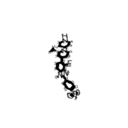 Cn1c(-c2ccc(S(C)(=O)=O)cc2)nc2c(F)c(C3CCN(C4CCNCC4)[C@@H](C4CC4)C3)ccc21